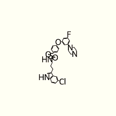 CN1CCN(c2cc(F)cc(Oc3ccc(S(=O)(=O)NCCCc4c[nH]c5ccc(Cl)cc45)cc3)c2)CC1